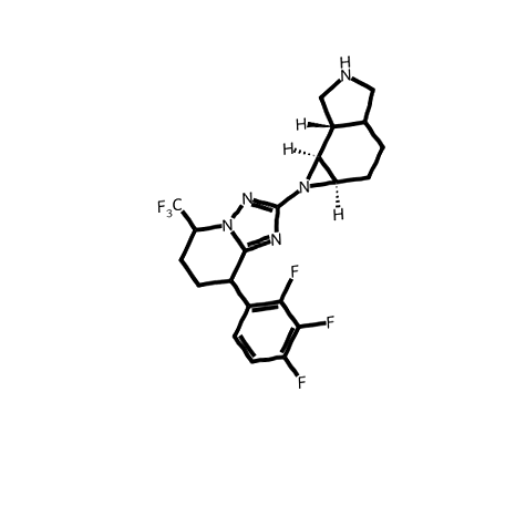 Fc1ccc(C2CCC(C(F)(F)F)n3nc(N4[C@H]5[C@@H]6CNCC6CC[C@H]54)nc32)c(F)c1F